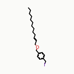 CCCCCCCCCCC=CCOCc1ccc(CI)cc1